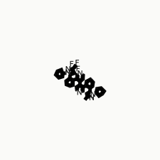 Cc1cc(-c2ccccc2-c2cnccc2-c2ccncc2-c2ccccc2-c2cc(C(F)(F)F)nn2-c2ccccc2)n(-c2ccccc2)n1